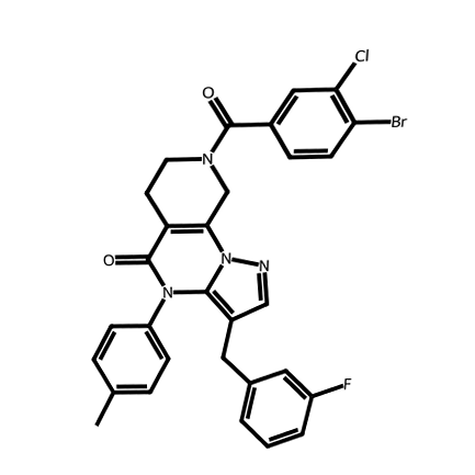 Cc1ccc(-n2c(=O)c3c(n4ncc(Cc5cccc(F)c5)c24)CN(C(=O)c2ccc(Br)c(Cl)c2)CC3)cc1